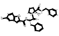 O=C(N[C@@H](Cc1ccccc1)C(=O)N1CCC[C@]1(O)C(=O)OCc1ccccc1)c1cc2cc(Cl)ccc2[nH]1